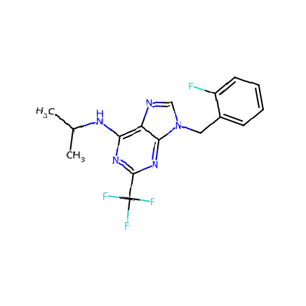 CC(C)Nc1nc(C(F)(F)F)nc2c1ncn2Cc1ccccc1F